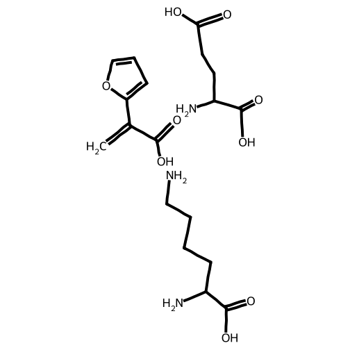 C=C(C(=O)O)c1ccco1.NC(CCC(=O)O)C(=O)O.NCCCCC(N)C(=O)O